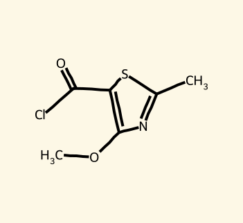 COc1nc(C)sc1C(=O)Cl